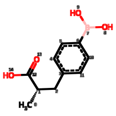 C[C@@H](Cc1ccc(B(O)O)cc1)C(=O)O